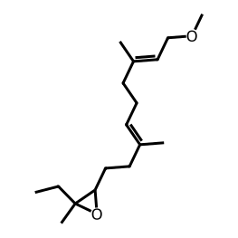 CCC1(C)OC1CCC(C)=CCCC(C)=CCOC